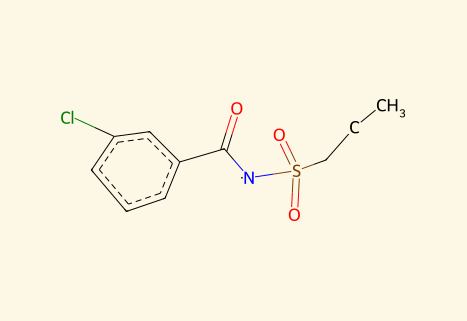 CCCS(=O)(=O)[N]C(=O)c1cccc(Cl)c1